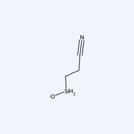 N#CCC[SiH2][O]